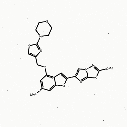 COc1cc(OCc2csc(N3CCSCC3)n2)c2cc(-c3cn4nc(OC)sc4n3)oc2c1